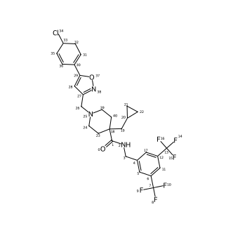 O=C(NCc1cc(C(F)(F)F)cc(C(F)(F)F)c1)C1(CC2CC2)CCN(Cc2cc(C3=CCC(Cl)C=C3)on2)CC1